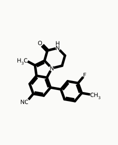 Cc1ccc(-c2cc(C#N)cc3c(C)c4n(c23)CCNC4=O)cc1F